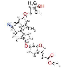 COC(=O)C[C@@H]1COc2cc(O[C@@H]3CCc4c3ccc(C#N)c4-c3c(C)cc(OCCC(C)(C)O)cc3C)ccc21